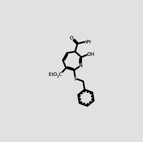 CCCC(=O)C1C=CC(C(=O)OCC)=C(SCc2ccccc2)N=C1O